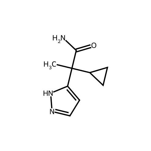 CC(C(N)=O)(c1ccn[nH]1)C1CC1